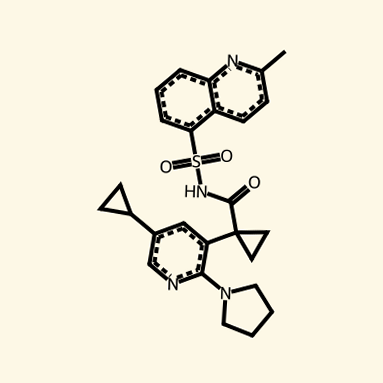 Cc1ccc2c(S(=O)(=O)NC(=O)C3(c4cc(C5CC5)cnc4N4CCCC4)CC3)cccc2n1